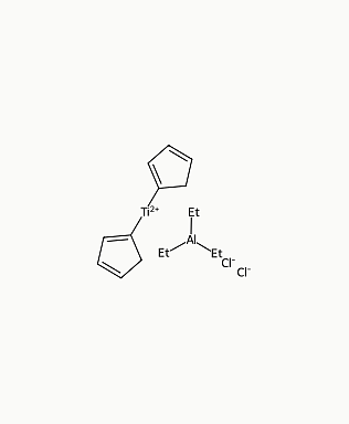 C1=CC[C]([Ti+2][C]2=CC=CC2)=C1.C[CH2][Al]([CH2]C)[CH2]C.[Cl-].[Cl-]